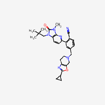 Cn1c(=O)n(CC(C)(C)C)c2ccc(-c3cc(CN4CCc5nc(C6CC6)oc5C4)ccc3C#N)nc21